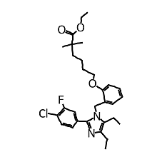 CCOC(=O)C(C)(C)CCCCOc1ccccc1Cn1c(-c2ccc(Cl)c(F)c2)nc(CC)c1CC